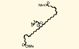 COC(=O)CCC/C=C\C/C=C\CCCCCCCCC(CCCCCCCC/C=C\C/C=C\CCCC(=O)OC)OC(=O)CN(C)CN(C)C